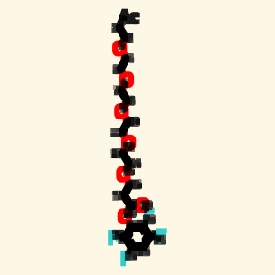 CC(=O)CCOCCOCCOCCOCCOCCC(=O)Oc1c(F)c(F)cc(F)c1F